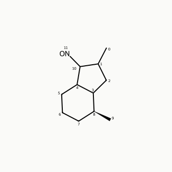 CC1CC2C(CCC[C@@H]2C)C1N=O